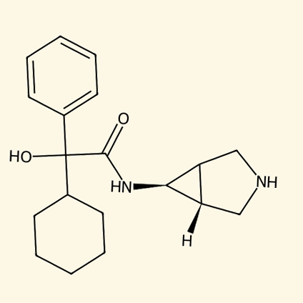 O=C(N[C@H]1C2CNC[C@@H]21)C(O)(c1ccccc1)C1CCCCC1